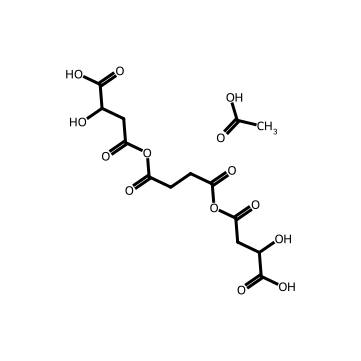 CC(=O)O.O=C(CCC(=O)OC(=O)CC(O)C(=O)O)OC(=O)CC(O)C(=O)O